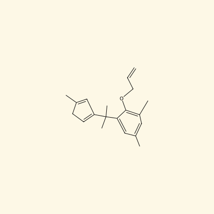 C=CCOc1c(C)cc(C)cc1C(C)(C)C1=CCC(C)=C1